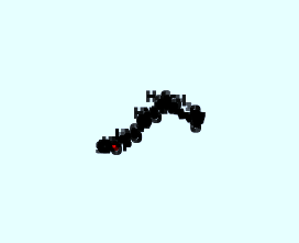 CC(C)C(NC(=O)CCCCCN1C(=O)C=CC1=O)C(=O)NCC(=O)Nc1ccc(COC(=O)N[C@H](CF)CCNC(=O)N2CCSCC2)cc1